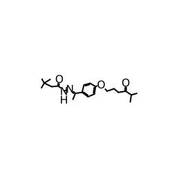 C/C(=N\NC(=O)CC(C)(C)C)c1ccc(OCCCC(=O)C(C)C)cc1